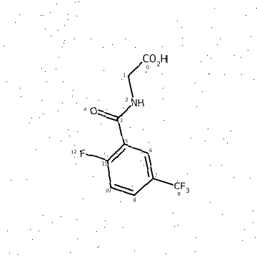 O=C(O)CNC(=O)c1cc(C(F)(F)F)ccc1F